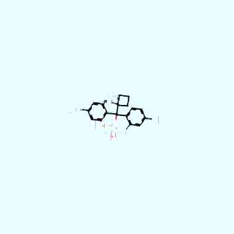 CCCCC1(C(OP(O)O)(c2ccc(C(C)(C)C)cc2C(C)(C)C)c2ccc(C(C)(C)C)cc2C(C)(C)C)CCC1